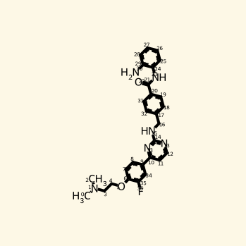 CN(C)CCOc1ccc(-c2ccnc(NCc3ccc(C(=O)Nc4ccccc4N)cc3)n2)cc1F